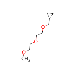 COCCOCCOC[C]1CC1